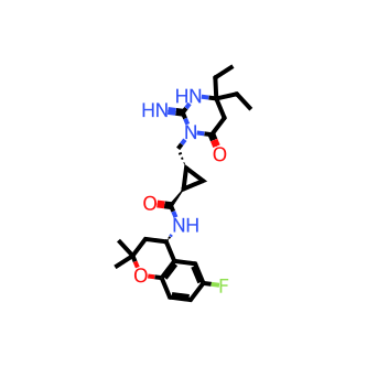 CCC1(CC)CC(=O)N(C[C@@H]2C[C@H]2C(=O)N[C@H]2CC(C)(C)Oc3ccc(F)cc32)C(=N)N1